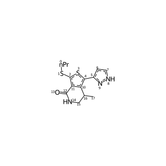 CCCSc1sc(-c2cc[nH]n2)c2c1C(=O)NCC2C